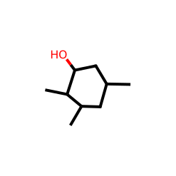 CC1CC(C)C(C)C(O)C1